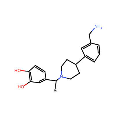 CC(=O)C(c1ccc(O)c(O)c1)N1CCC(c2cccc(CN)c2)CC1